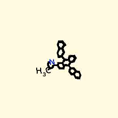 Cc1ccnc(-c2ccc3c(-c4ccc5ccccc5c4)c4ccccc4c(-c4ccc5ccccc5c4)c3c2)c1